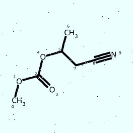 COC(=O)OC(C)CC#N